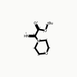 CC(C)(C)OC(=O)C(=N)N1CCOCC1